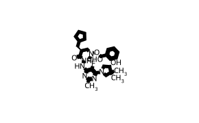 Cc1nc(NNC(=O)[C@@H](CC2CCCC2)CN(C=O)OCc2ccccc2)c(F)c(N2C[C@@H](O)C(C)(C)C2)n1